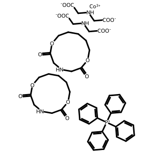 O=C([O-])CNCC(=O)[O-].O=C([O-])CNCC(=O)[O-].O=C1CNCC(=O)OCCCCCO1.O=C1CNCC(=O)OCCCCCO1.[Co+3].c1ccc([P+](c2ccccc2)(c2ccccc2)c2ccccc2)cc1